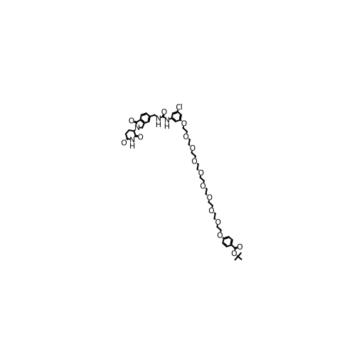 CC(C)(C)OC(=O)c1ccc(OCCOCCOCCOCCOCCOCCOCCOCCOCCOc2cc(Cl)cc(NC(=O)NCc3ccc4c(c3)CN(C3CCC(=O)NC3=O)C4=O)c2)cc1